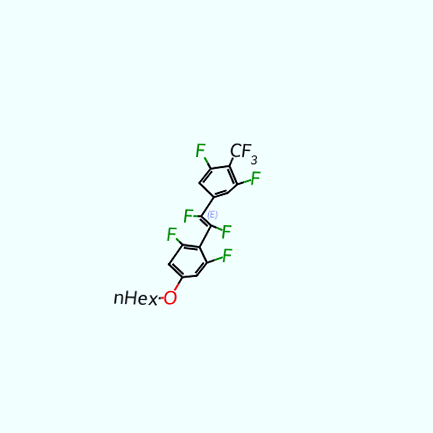 CCCCCCOc1cc(F)c(/C(F)=C(\F)c2cc(F)c(C(F)(F)F)c(F)c2)c(F)c1